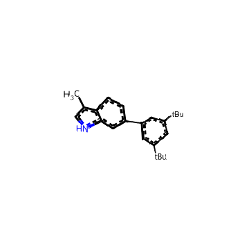 Cc1c[nH]c2cc(-c3cc(C(C)(C)C)cc(C(C)(C)C)c3)ccc12